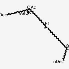 CCCCCCCCCCCCCCCCCCCCCCCCC(C(=O)OC)[C@@H](CCCCCCCCCCCCCC[C@@H](CC)[C@@H]1C[C@@H]1CCCCCCCCCCCCCCCCCC[C@H](O)[C@@H](C)CCCCCCCCCCCCCCCCCC)OC(C)=O